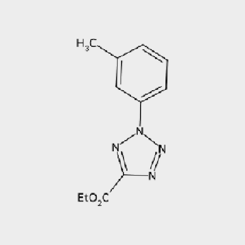 CCOC(=O)c1nnn(-c2cccc(C)c2)n1